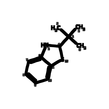 CC(C)(C)C1Nc2ccccc2S1